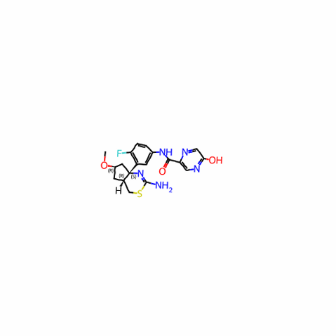 CO[C@@H]1C[C@H]2CSC(N)=N[C@@]2(c2cc(NC(=O)c3cnc(O)cn3)ccc2F)C1